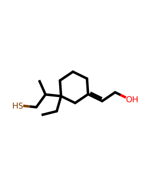 CCC1(C(C)CS)CCC/C(=C\CO)C1